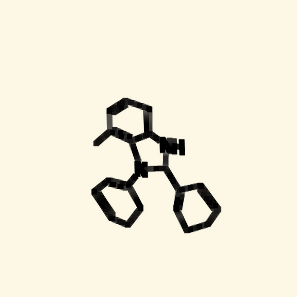 Cc1cccc2c1N(C1=CC=CCC1)C(C1=CCCC=C1)N2